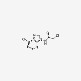 O=C(CCl)Nn1cnc2c(Cl)ncnc21